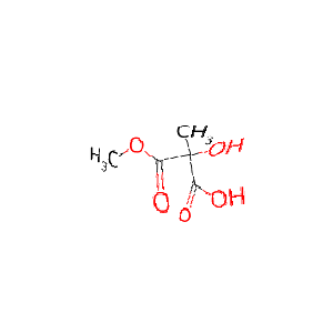 COC(=O)C(C)(O)C(=O)O